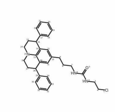 O=C(NCCCl)NCCCc1cc2c3c(c1)C(c1ccccc1)CCN3CCC2c1ccccc1